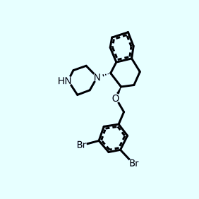 Brc1cc(Br)cc(CO[C@@H]2CCc3ccccc3[C@H]2N2CCNCC2)c1